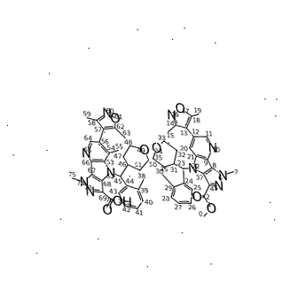 COC(=O)c1nn(C)c2c3ncc(-c4c(C)noc4C)cc3n(C(c3ccccc3C)C3CCOCC3)c12.Cc1ccccc1C(C1CCOCC1)n1c2c(C)c(-c3c(C)noc3C)cnc2c2c1c(C(=O)O)nn2C